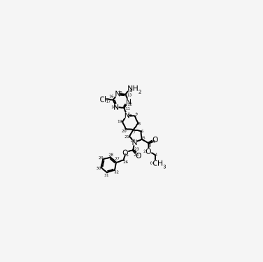 CCOC(=O)C1CC2(CCN(c3nc(N)nc(Cl)n3)CC2)CN1C(=O)OCc1ccccc1